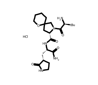 CC(C)(C)[C@H](N)C(=O)N1CC2(CCCCO2)C[C@H]1C(=O)N[C@@H](C[C@@H]1CCNC1=O)C(N)=O.Cl